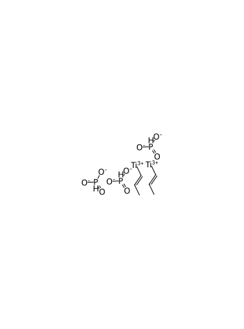 CC=[CH][Ti+3].CC=[CH][Ti+3].O=[PH]([O-])[O-].O=[PH]([O-])[O-].O=[PH]([O-])[O-]